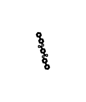 O=C(Oc1ccc(-c2ccccc2)cc1)c1ccc(C(=O)Oc2ccc(-c3ccccc3)cc2)cc1